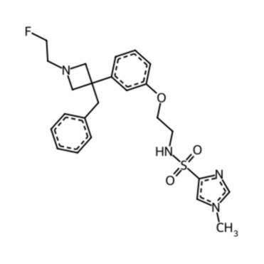 Cn1cnc(S(=O)(=O)NCCOc2cccc(C3(Cc4ccccc4)CN(CCF)C3)c2)c1